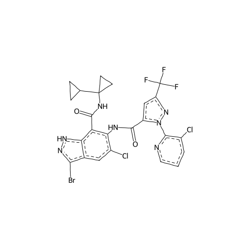 O=C(NC1(C2CC2)CC1)c1c(NC(=O)c2cc(C(F)(F)F)nn2-c2ncccc2Cl)c(Cl)cc2c(Br)n[nH]c12